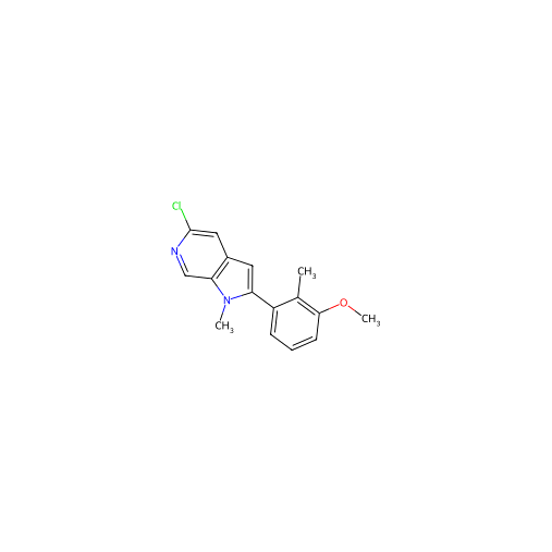 COc1cccc(-c2cc3cc(Cl)ncc3n2C)c1C